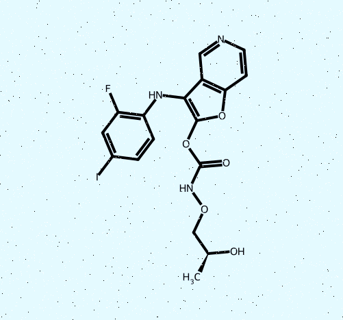 C[C@H](O)CONC(=O)Oc1oc2ccncc2c1Nc1ccc(I)cc1F